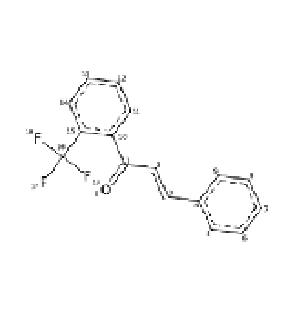 O=C(C=Cc1ccccc1)c1ccccc1C(F)(F)F